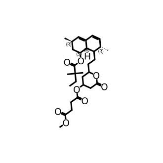 CCC(C)(C)C(=O)O[C@H]1C[C@@H](C)C=C2C=C[C@H](C)C(CCC3CC(OC(=O)CCC(=O)OC)CC(=O)O3)[C@H]21